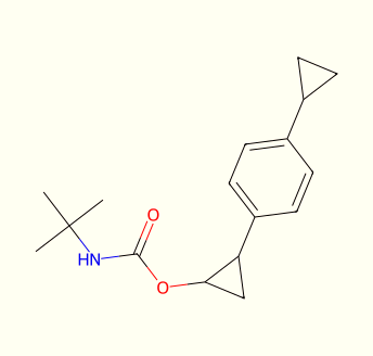 CC(C)(C)NC(=O)OC1CC1c1ccc(C2CC2)cc1